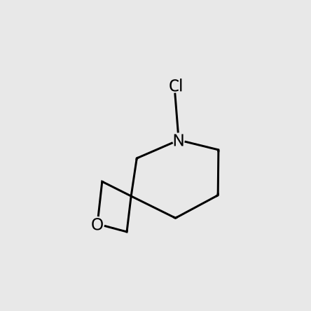 ClN1CCCC2(COC2)C1